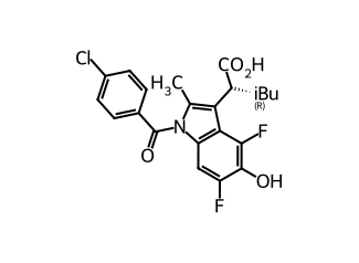 CC[C@@H](C)C(C(=O)O)c1c(C)n(C(=O)c2ccc(Cl)cc2)c2cc(F)c(O)c(F)c12